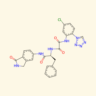 O=C(Nc1cc(Cl)ccc1-n1cnnn1)C(=O)N[C@@H](Cc1ccccc1)C(=O)Nc1ccc2c(c1)CNC2=O